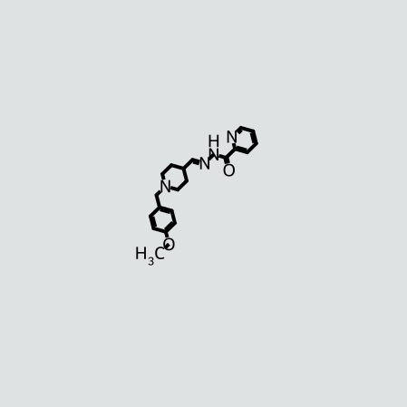 COc1ccc(CN2CCC(C=NNC(=O)c3ccccn3)CC2)cc1